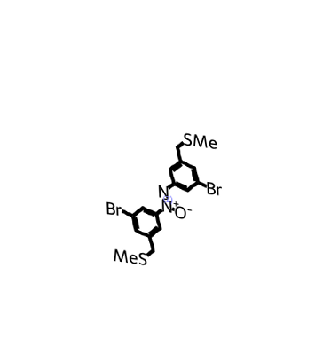 CSCc1cc(Br)cc(/N=[N+](\[O-])c2cc(Br)cc(CSC)c2)c1